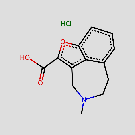 CN1CCc2cccc3oc(C(=O)O)c(c23)C1.Cl